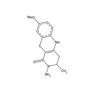 COc1ccc2c(c1)SC1=C(CC(C)N(N)C1=O)N2